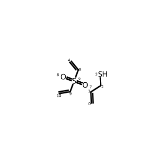 C=CCS.C=CS(=O)(=O)C=C